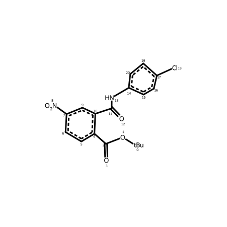 CC(C)(C)OC(=O)c1ccc([N+](=O)[O-])cc1C(=O)Nc1ccc(Cl)cc1